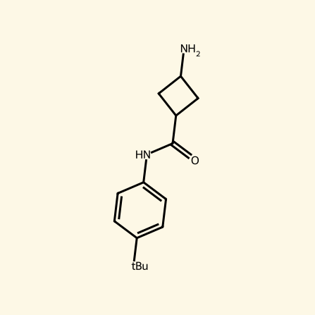 CC(C)(C)c1ccc(NC(=O)C2CC(N)C2)cc1